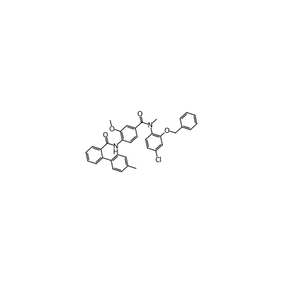 COc1cc(C(=O)N(C)c2ccc(Cl)cc2OCc2ccccc2)ccc1NC(=O)c1ccccc1-c1ccc(C)cc1